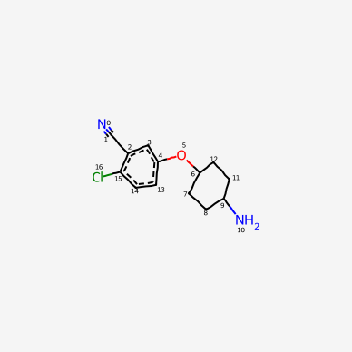 N#Cc1cc(OC2CCC(N)CC2)ccc1Cl